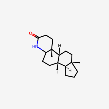 C[C@@]12CCC[C@H]1[C@@H]1CCC3NC(=O)CC[C@]3(C)[C@@H]1CC2